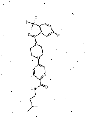 CC(C)CCNC(=O)c1ccc(N2CCN(C(=O)c3cc(F)ccc3C(F)(F)F)CC2)cn1